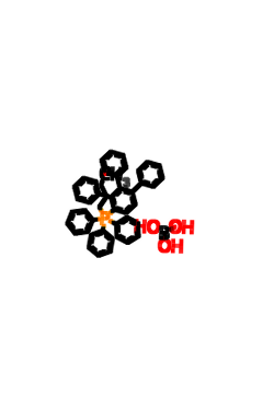 CCCCP(c1ccccc1)(c1ccccc1)(c1ccccc1)c1ccc(-c2ccccc2)c(-c2ccccc2)c1-c1ccccc1.OB(O)O